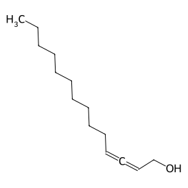 CCCCCCCCCCC=C=CCO